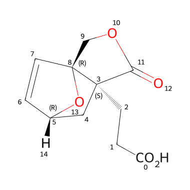 O=C(O)CC[C@]12C[C@@H]3C=C[C@@]1(COC2=O)O3